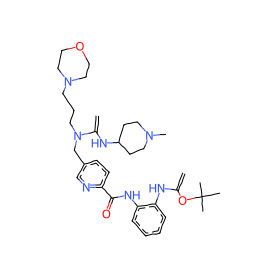 C=C(Nc1ccccc1NC(=O)c1ccc(CN(CCCN2CCOCC2)C(=C)NC2CCN(C)CC2)cn1)OC(C)(C)C